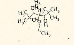 CCCCC(CC)(C(O)C(C)(C)C)C(O)C(C)(C)C